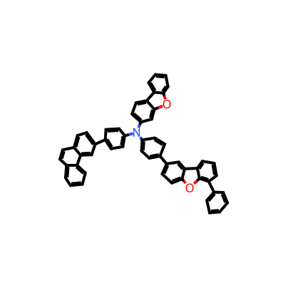 c1ccc(-c2cccc3c2oc2ccc(-c4ccc(N(c5ccc(-c6ccc7ccc8ccccc8c7c6)cc5)c5ccc6c(c5)oc5ccccc56)cc4)cc23)cc1